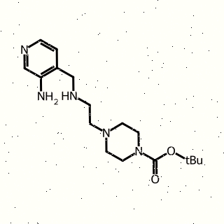 CC(C)(C)OC(=O)N1CCN(CCNCc2ccncc2N)CC1